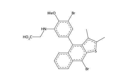 COc1c(Br)cc(-c2c3ccccc3c(Br)c3sc(C)c(C)c23)cc1NCC(=O)O